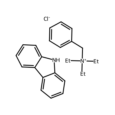 CC[N+](CC)(CC)Cc1ccccc1.[Cl-].c1ccc2c(c1)[nH]c1ccccc12